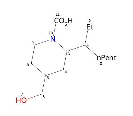 CCCCCC(CC)C1CC(CO)CCN1C(=O)O